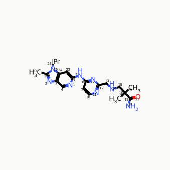 Cc1nc2cnc(Nc3ccnc(CNCC(C)(C)C(N)=O)n3)cc2n1C(C)C